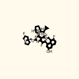 C#Cc1c(F)ccc2cc(O)cc(-c3nc4c5c(nc(OC[C@@]67CCCN6C[C@H](F)C7)nc5c3F)N3C[C@H]5CC[C@H](N5)[C@H]3C(C3CC3)O4)c12